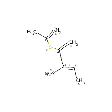 C=C(C)SC(=C)/C(=C/C)SC